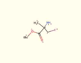 CC(C)(C)OC(=O)C(C)(N)CI